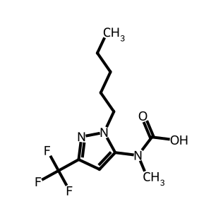 CCCCCn1nc(C(F)(F)F)cc1N(C)C(=O)O